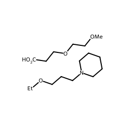 CCOCCCN1CCCCC1.COCCOCCC(=O)O